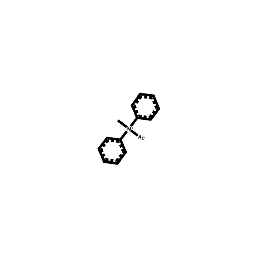 CC(=O)[N+](C)(c1ccccc1)c1ccccc1